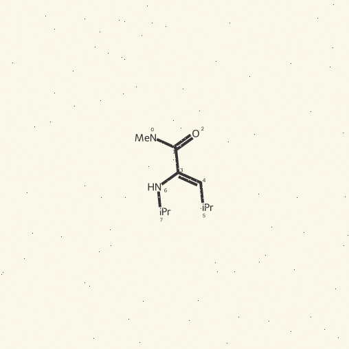 CNC(=O)C(=CC(C)C)NC(C)C